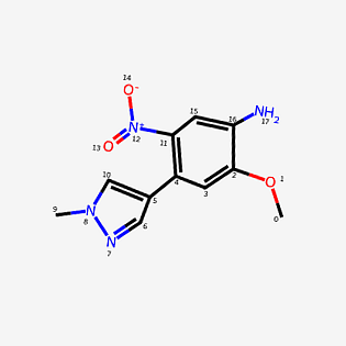 COc1cc(-c2cnn(C)c2)c([N+](=O)[O-])cc1N